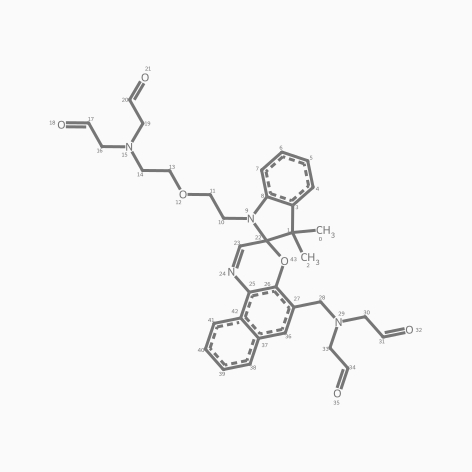 CC1(C)c2ccccc2N(CCOCCN(CC=O)CC=O)C12C=Nc1c(c(CN(CC=O)CC=O)cc3ccccc13)O2